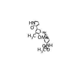 COc1c(C)cc(-c2ccc[nH]c2=O)cc1[C@@H]1C[C@@H]1c1ccc(NS(C)(=O)=O)cc1